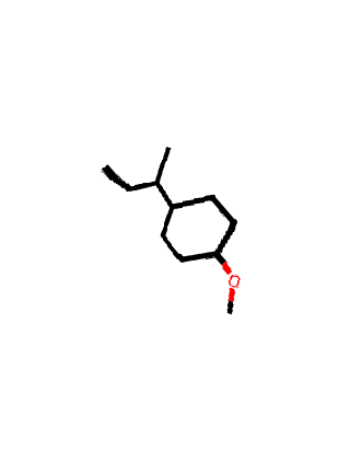 CCC(C)C1CCC(OC)CC1